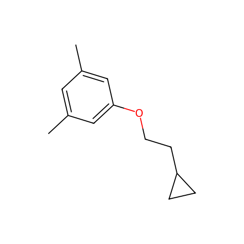 Cc1cc(C)cc(OCCC2CC2)c1